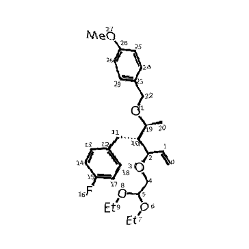 C=C[C@@H](OCC(OCC)OCC)[C@H](Cc1ccc(F)cc1)[C@H](C)OCc1ccc(OC)cc1